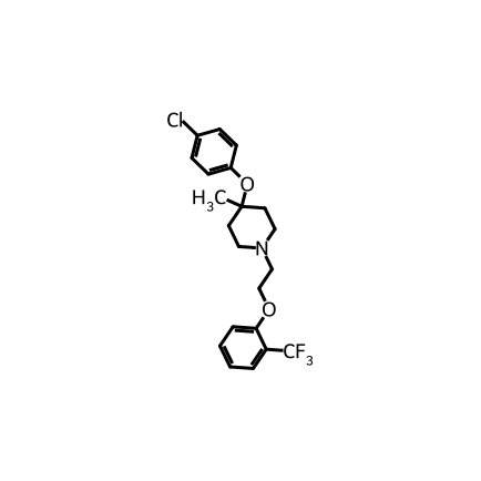 CC1(Oc2ccc(Cl)cc2)CCN(CCOc2ccccc2C(F)(F)F)CC1